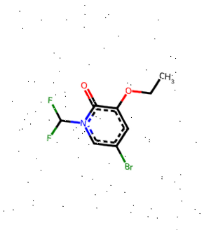 CCOc1cc(Br)cn(C(F)F)c1=O